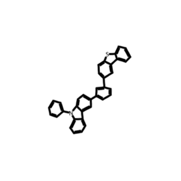 c1ccc(-n2c3ccccc3c3cc(-c4cccc(-c5ccc6sc7ccccc7c6c5)c4)ccc32)cc1